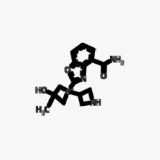 CC1(O)C[N+](c2nc3c(C(N)=O)[c]ccc3o2)(C2CNC2)C1